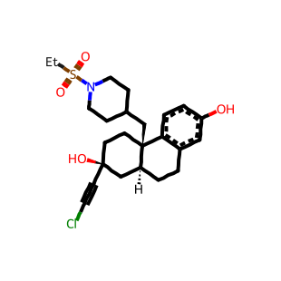 CCS(=O)(=O)N1CCC(C[C@]23CC[C@@](O)(C#CCl)C[C@@H]2CCc2cc(O)ccc23)CC1